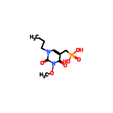 CCCn1cc(CP(=O)(O)O)c(=O)n(OC)c1=O